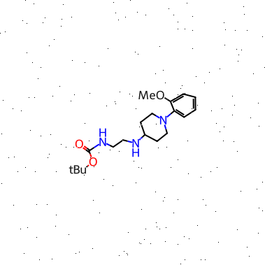 COc1ccccc1N1CCC(NCCNC(=O)OC(C)(C)C)CC1